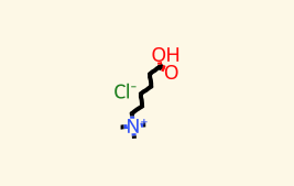 C[N+](C)(C)CCCCCC(=O)O.[Cl-]